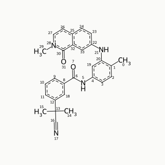 Cc1ccc(NC(=O)c2cccc(C(C)(C)C#N)c2)cc1Nc1ccc2ccn(C)c(=O)c2c1